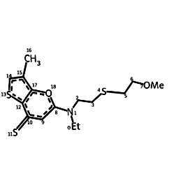 CCN(CCSCCOC)c1cc(=S)c2scc(C)c2o1